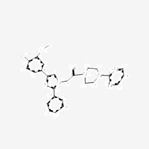 COc1cc(-c2cn(CC(=O)N3CCN(c4ncccn4)CC3)c(-c3ccccc3)n2)ccc1F